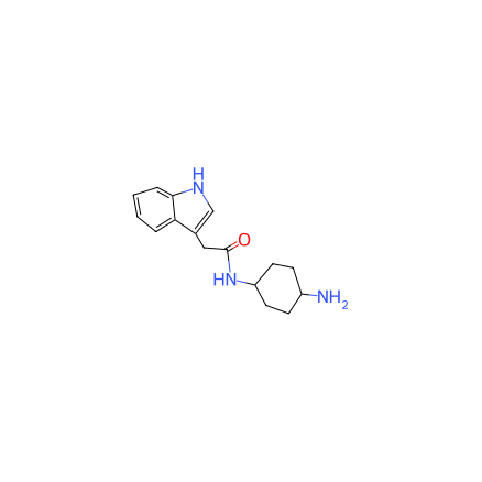 NC1CCC(NC(=O)Cc2c[nH]c3ccccc23)CC1